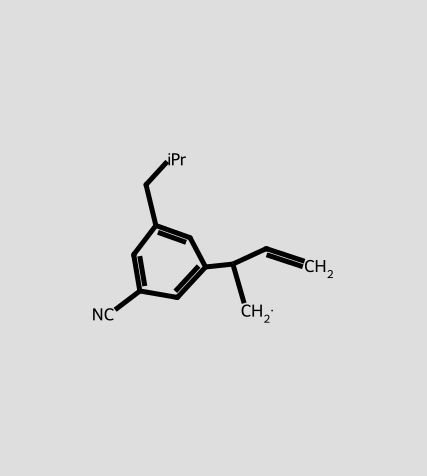 [CH2]C(C=C)c1cc(C#N)cc(CC(C)C)c1